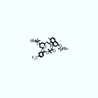 C[C@H]1C=CC2=C[C@@H](O[Si](C)(C)C(C)(C)C)C[C@H](OC(=O)C(C)(C)OCc3ccc(C(F)(F)F)cc3)[C@@H]2[C@H]1CC[C@@H]1C[C@@H](O[Si](C)(C)C(C)(C)C)CC(=O)O1